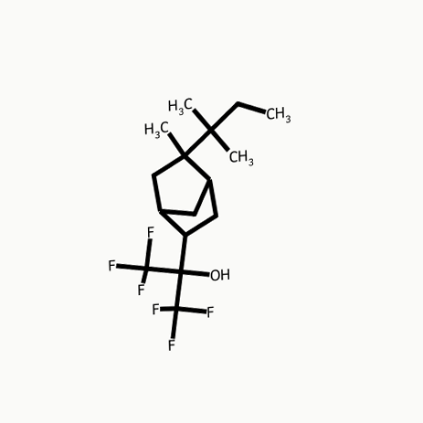 CCC(C)(C)C1(C)CC2CC1CC2C(O)(C(F)(F)F)C(F)(F)F